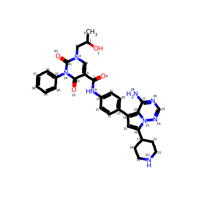 CC(O)Cn1cc(C(=O)Nc2ccc(-c3cc(C4CCNCC4)n4ncnc(N)c34)cc2)c(=O)n(-c2ccccc2)c1=O